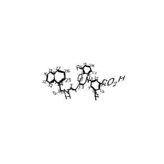 C[C@@H](NCCC1CN(c2cc(F)cc(C(=O)O)c2)c2cccc(F)c2O1)c1cccc2ccccc12